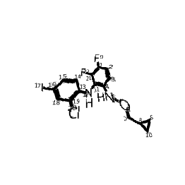 Fc1ccc(NOCC2CC2)c(Nc2ccc(I)cc2Cl)c1F